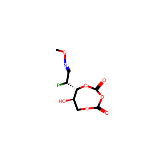 CON=CC(F)[C@@H]1OC(=O)OC(=O)OC[C@H]1O